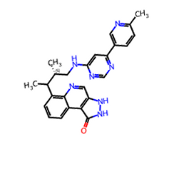 Cc1ccc(-c2cc(NC[C@@H](C)C(C)c3cccc4c3ncc3[nH][nH]c(=O)c34)ncn2)cn1